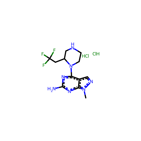 Cl.Cl.Cn1ncc2c(N3CCNCC3CC(F)(F)F)nc(N)nc21